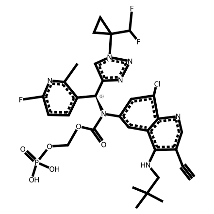 C#Cc1cnc2c(Cl)cc(N(C(=O)OCOP(=O)(O)O)[C@H](c3cn(C4(C(F)F)CC4)nn3)c3ccc(F)nc3C)cc2c1NCC(C)(C)C